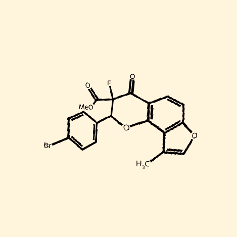 COC(=O)C1(F)C(=O)c2ccc3occ(C)c3c2OC1c1ccc(Br)cc1